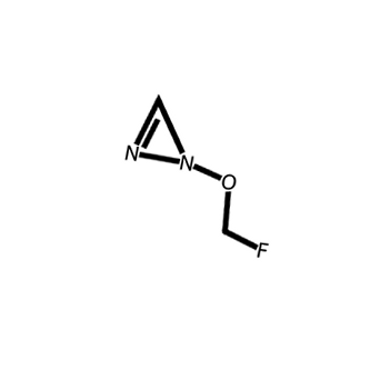 FCON1C=N1